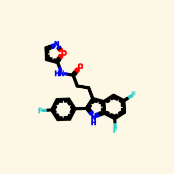 O=C(CCc1c(-c2ccc(F)cc2)[nH]c2c(F)cc(F)cc12)Nc1ccno1